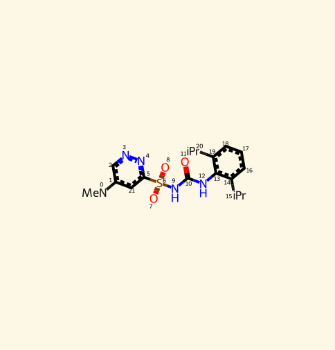 CNc1cnnc(S(=O)(=O)NC(=O)Nc2c(C(C)C)cccc2C(C)C)c1